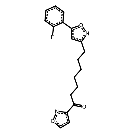 O=C(CCCCCCc1cc(-c2ccccc2F)on1)c1ccon1